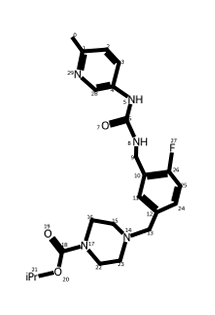 Cc1ccc(NC(=O)NCc2cc(CN3CCN(C(=O)OC(C)C)CC3)ccc2F)cn1